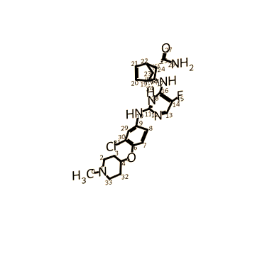 CN1CCC(Oc2ccc(Nc3ncc(F)c(N[C@@H]4[C@H]5C=CC(C5)[C@@H]4C(N)=O)n3)cc2Cl)CC1